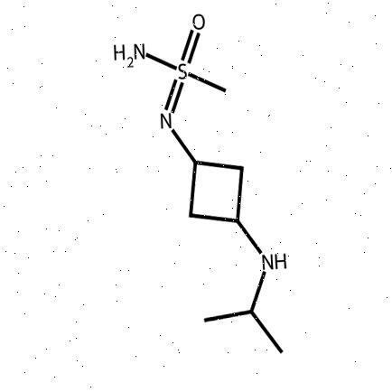 CC(C)NC1CC(N=S(C)(N)=O)C1